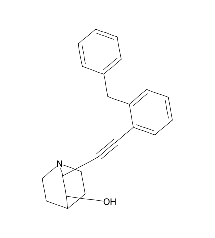 OC1C2CCN(CC2)C1C#Cc1ccccc1Cc1ccccc1